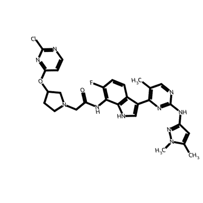 Cc1cnc(Nc2cc(C)n(C)n2)nc1-c1c[nH]c2c(NC(=O)CN3CCC(Oc4ccnc(Cl)n4)C3)c(F)ccc12